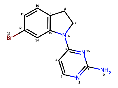 Nc1nccc(N2CCc3ccc(Br)cc32)n1